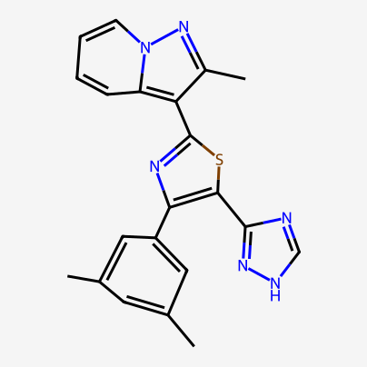 Cc1cc(C)cc(-c2nc(-c3c(C)nn4ccccc34)sc2-c2nc[nH]n2)c1